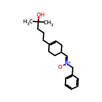 CC(C)(O)CCCC1=CCC(C=[N+]([O-])Cc2ccccc2)CC1